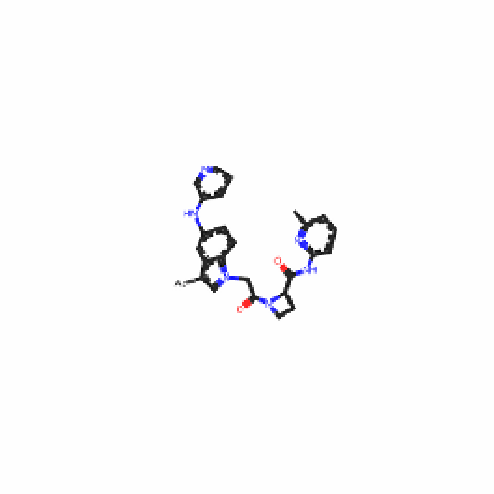 CC(=O)c1cn(CC(=O)N2CCC2C(=O)Nc2cccc(C)n2)c2ccc(Nc3cccnc3)cc12